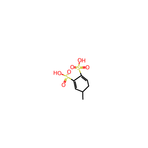 CC1C=C(S(=O)(=O)O)C(S(=O)(=O)O)=CC1